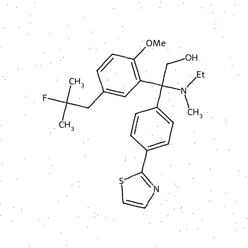 CCN(C)C(CO)(c1ccc(-c2nccs2)cc1)c1cc(CC(C)(C)F)ccc1OC